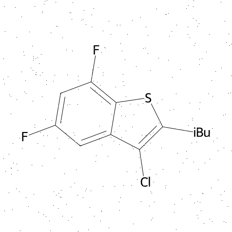 CCC(C)c1sc2c(F)cc(F)cc2c1Cl